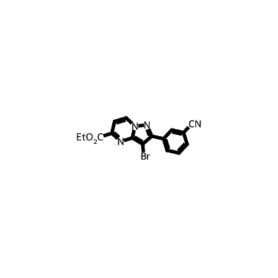 CCOC(=O)c1ccn2nc(-c3cccc(C#N)c3)c(Br)c2n1